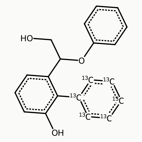 OCC(Oc1ccccc1)c1cccc(O)c1-[13c]1[13cH][13cH][13cH][13cH][13cH]1